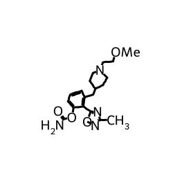 COCCN1CCC(Cc2cccc(OC(N)=O)c2-c2nc(C)no2)CC1